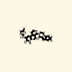 CCc1c(-c2cc(Nc3ncc(C)o3)c(=O)n(C)c2)ccnc1N1CCn2c(cc3c2CC(C)(C)C3)C1=O